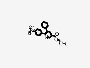 CCOC(=O)c1cnc(-c2ccc([N+](=O)[O-])cc2)c(-c2ccccc2)c1